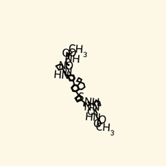 COC(=O)NCC(=O)N1CCCC1c1ncc(-c2ccc(-c3ccc(-c4ccc5nc(C6CCCN6C(=O)CNC(=O)OC)[nH]c5c4)c4c3CCCC43CCC3)s2)[nH]1